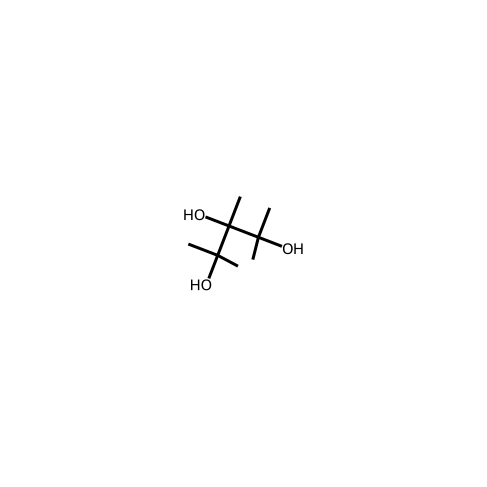 CC(C)(O)C(C)(O)C(C)(C)O